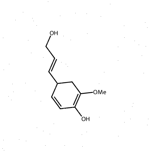 COC1=C(O)C=CC(C=CCO)C1